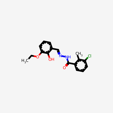 CCOc1cccc(C=NNC(=O)c2cccc(Cl)c2C)c1O